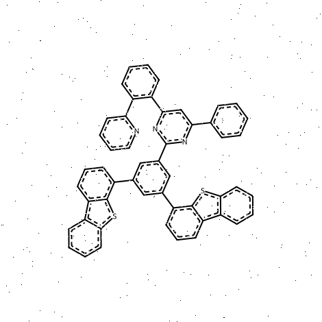 c1ccc(-c2cc(-c3ccccc3-c3ccccn3)nc(-c3cc(-c4cccc5c4sc4ccccc45)cc(-c4cccc5c4sc4ccccc45)c3)n2)cc1